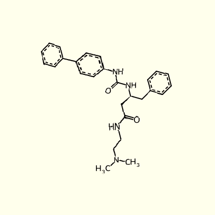 CN(C)CCNC(=O)C[C@H](Cc1ccccc1)NC(=O)Nc1ccc(-c2ccccc2)cc1